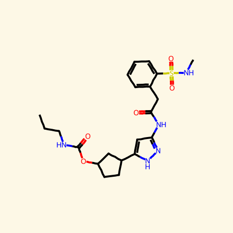 CCCNC(=O)OC1CCC(c2cc(NC(=O)Cc3ccccc3S(=O)(=O)NC)n[nH]2)C1